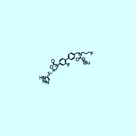 CC(C)(C)OC(=O)N(CCCF)Cc1ccc(-c2ccc(N3C[C@H](CSc4cnn[nH]4)OC3=O)cc2F)cc1